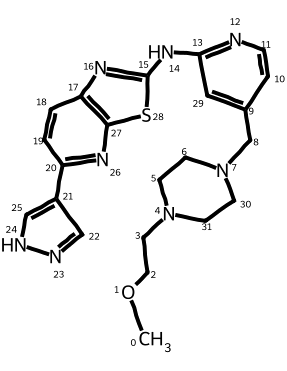 COCCN1CCN(Cc2ccnc(Nc3nc4ccc(-c5cn[nH]c5)nc4s3)c2)CC1